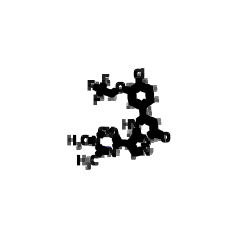 C/C(=N/C(=O)c1cnn2c(=O)cc(-c3ccc(Cl)c(OCC(F)(F)F)c3)[nH]c12)N(C)C